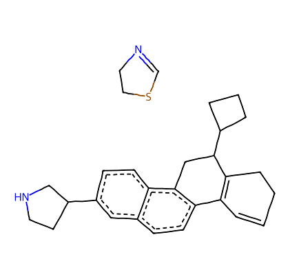 C1=CC2=C(CC1)C(C1CCC1)Cc1c2ccc2cc(C3CCNC3)ccc12.C1=NCCS1